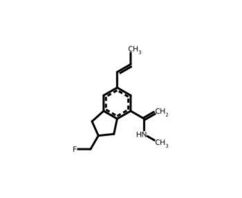 C=C(NC)c1cc(/C=C/C)cc2c1CC(CF)C2